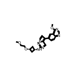 COCCO[C@H]1C[C@@H](Nc2ncc3c(-c4ccc5ncnc(OC)c5c4)ccn3n2)C1